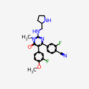 COc1ccc(-c2c(-c3ccc(C#N)c(F)c3)nc(NCC3CCCN3)n(C)c2=O)cc1F